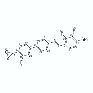 CCCc1ccc(/C=C/c2ccc(-c3ccc(C4CO4)c(F)c3)cc2)c(F)c1F